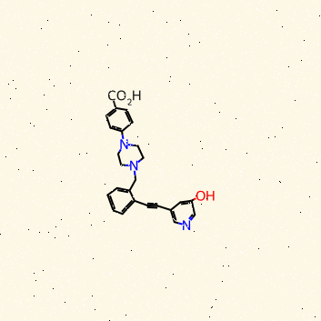 O=C(O)c1ccc(N2CCN(Cc3ccccc3C#Cc3cncc(O)c3)CC2)cc1